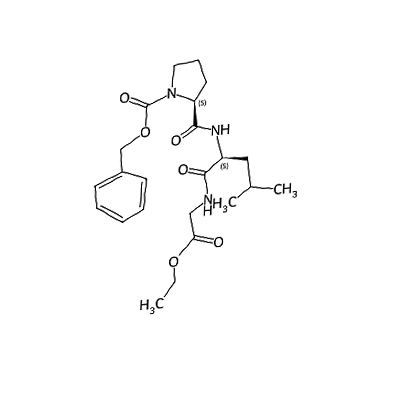 CCOC(=O)CNC(=O)[C@H](CC(C)C)NC(=O)[C@@H]1CCCN1C(=O)OCc1ccccc1